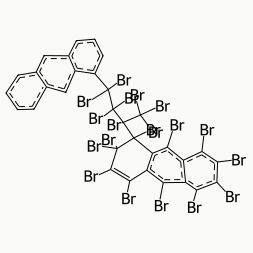 BrC1=C(Br)C(Br)(Br)C(Br)(C(Br)(C(Br)(Br)Br)C(Br)(Br)C(Br)(Br)c2cccc3cc4ccccc4cc23)c2c1c(Br)c1c(Br)c(Br)c(Br)c(Br)c1c2Br